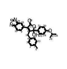 Cc1ccc(CC2=C(c3ccc4nsnc4c3)C(=O)OC2(O)c2ccc(OC(C)C)cc2)cc1